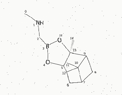 CNCB1OC2CC3CC(C3(C)C)[C@]2(C)O1